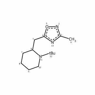 Cc1noc(CC2CCCCN2C(C)(C)C)n1